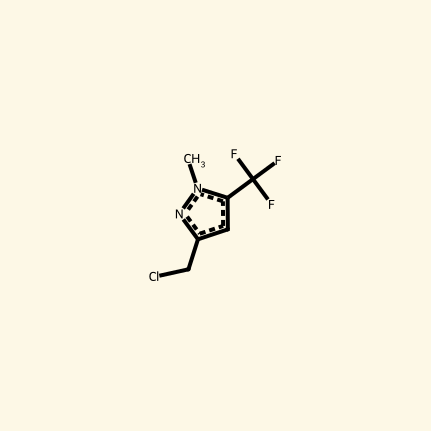 Cn1nc(CCl)cc1C(F)(F)F